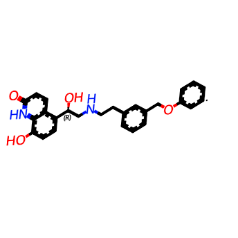 O=c1ccc2c([C@@H](O)CNCCc3cccc(COc4c[c]ccc4)c3)ccc(O)c2[nH]1